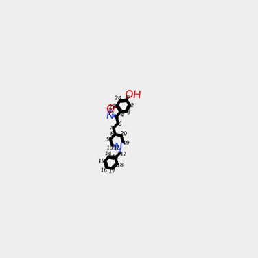 Oc1ccc2c(CCC3CCN(Cc4ccccc4)CC3)noc2c1